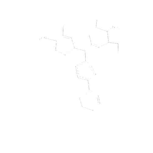 CCC1=CC(C(C2=CC(CC)C(N)C(C)=C2)c2ccc(C3=CCCC=C3)cc2)=CC(C)C1N